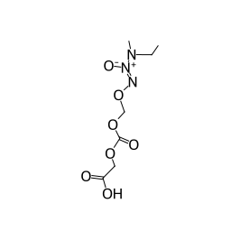 CCN(C)/[N+]([O-])=N/OCOC(=O)OCC(=O)O